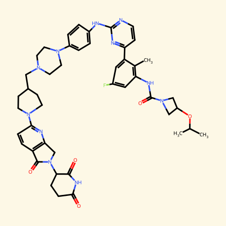 Cc1c(NC(=O)N2CC(OC(C)C)C2)cc(F)cc1-c1ccnc(Nc2ccc(N3CCN(CC4CCN(c5ccc6c(n5)CN(C5CCC(=O)NC5=O)C6=O)CC4)CC3)cc2)n1